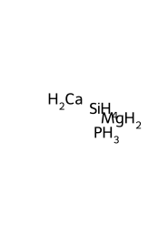 P.[CaH2].[MgH2].[SiH4]